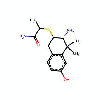 CC(S[C@@H]1Cc2ccc(O)cc2C(C)(C)[C@H]1N)C(N)=O